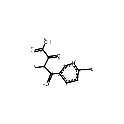 Cc1ccc(C(=O)C(C)C(=O)C(=O)O)cn1